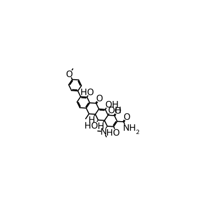 COc1ccc(-c2ccc3c(c2O)C(=O)C2=C(O)[C@]4(O)C(=O)C(C(N)=O)=C(O)[C@@H](N(C)C)[C@@H]4[C@@H](O)[C@@H]2C3C)cc1